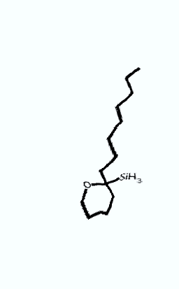 CCCCCCCCC1([SiH3])CCCCO1